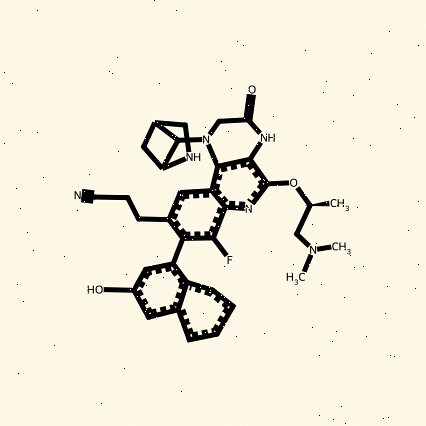 C[C@@H](CN(C)C)Oc1nc2c(F)c(-c3cc(O)cc4ccccc34)c(CCC#N)cc2c2c1NC(=O)CN2C1C2CNC1C2